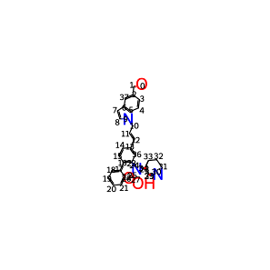 O=Cc1ccc2c(ccn2CC=Cc2ccc(-c3ccccc3)c(N(C(=O)O)C3CN4CCC3CC4)c2)c1